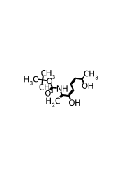 C=C(NC(=O)OC(C)(C)C)/C(O)=C\C=C/C(C)O